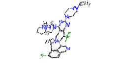 C#Cc1c(F)ccc2cncc(-c3ncc4c(N(C)C[C@H]5CCCN5)nc(N5CCN(C)CC5)nc4c3F)c12